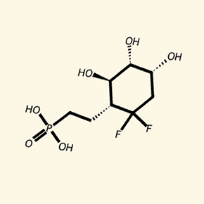 O=P(O)(O)CC[C@@H]1[C@@H](O)[C@H](O)[C@H](O)CC1(F)F